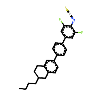 CCCCC1CCc2cc(-c3ccc(-c4cc(F)c(N=C=S)c(F)c4)cc3)ccc2C1